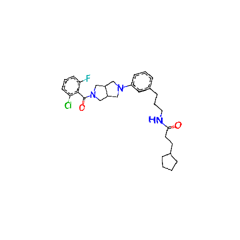 O=C(CCC1CCCC1)NCCCc1cccc(N2CC3CN(C(=O)c4c(F)cccc4Cl)CC3C2)c1